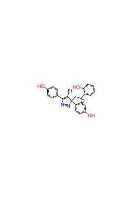 CCC1=C(c2ccc(O)cc2)N=NC1(CC(=O)c1ccccc1O)c1ccc(O)cc1